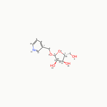 OC[C@H]1OC(OCc2cccnc2)[C@H](O)[C@@H]1O